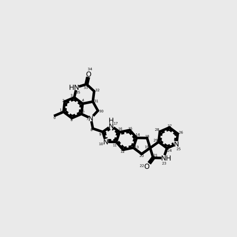 Cc1cc2c3c(c1)N(Cc1nc4cc5c(cc4[nH]1)CC1(C5)C(=O)Nc4ncccc41)CC3CC(=O)N2